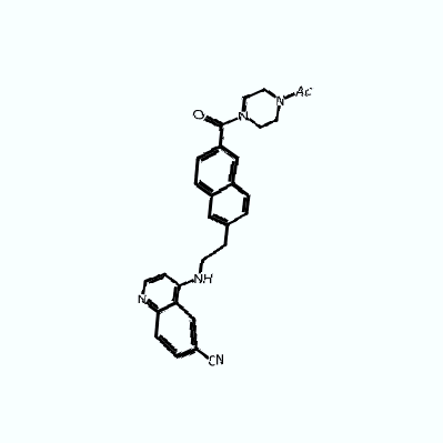 CC(=O)N1CCN(C(=O)c2ccc3cc(CCNc4ccnc5ccc(C#N)cc45)ccc3c2)CC1